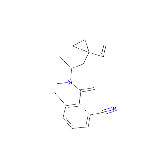 C=CC1(CC(C)N(C)C(=C)c2c(C)cccc2C#N)CC1